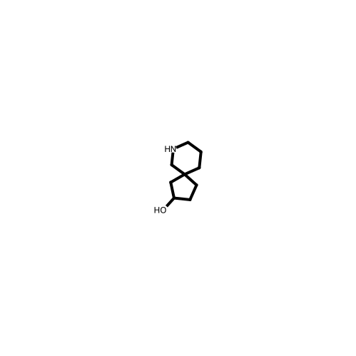 OC1CCC2(CCCNC2)C1